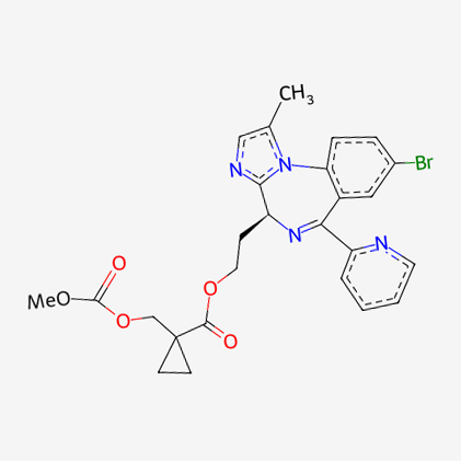 COC(=O)OCC1(C(=O)OCC[C@@H]2N=C(c3ccccn3)c3cc(Br)ccc3-n3c(C)cnc32)CC1